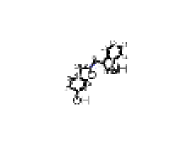 Oc1ccc2c(c1)O/C(=C\c1c[nH]c3ccccc13)C2